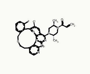 C=CC(=O)N1C[C@H](C)N(c2nc(=O)n3c4nc(c(Cl)cc24)-c2c(F)cccc2COCCc2ccnc(C(C)C)c2-3)C[C@H]1C